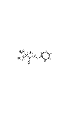 CC(C)(C)[C@](N)(C(=O)O)C(=O)OCc1ccccc1